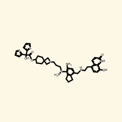 Nc1cc(CNCCc2ccc(O)c3[nH]c(=O)ccc23)c2c(c1N(N)CCCN1CC3(CCC(OC(=O)C(O)(c4cccs4)c4cccs4)CC3)C1)CCC2